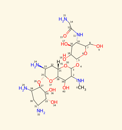 CNC1C(O[C@H]2OC(CO)[C@@H](NC(=O)CN)[C@H](O)C2O)O[C@H]2C[C@H](N)[C@@H](O[C@@H]3C(N)C[C@@H](N)[C@@H](O)C3O)OC2C1O